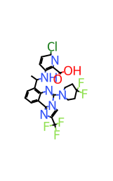 CC(Nc1ccc(Cl)nc1C(=O)O)c1cccc2c1nc(N1CCC(F)(F)CC1)n1cc(C(F)(F)F)nc21